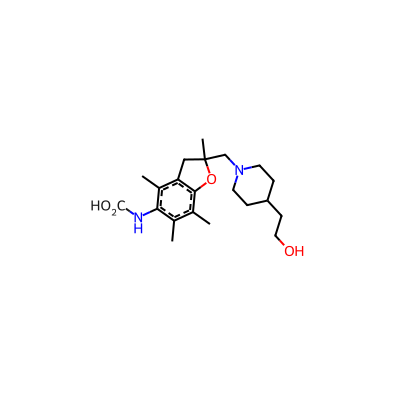 Cc1c(C)c2c(c(C)c1NC(=O)O)CC(C)(CN1CCC(CCO)CC1)O2